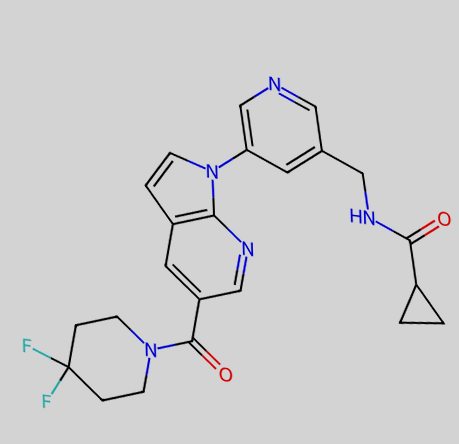 O=C(NCc1cncc(-n2ccc3cc(C(=O)N4CCC(F)(F)CC4)cnc32)c1)C1CC1